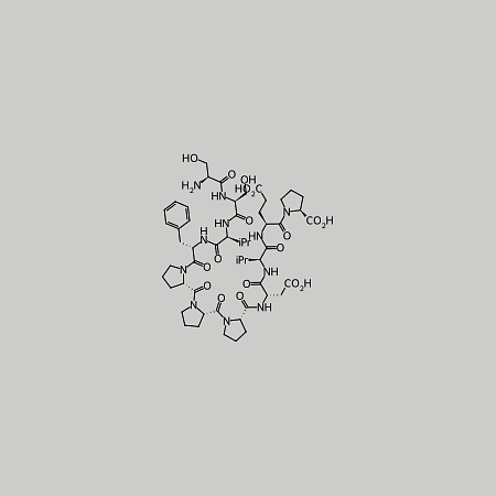 CC(C)[C@H](NC(=O)[C@H](CC(=O)O)NC(=O)[C@@H]1CCCN1C(=O)[C@@H]1CCCN1C(=O)[C@@H]1CCCN1C(=O)[C@H](Cc1ccccc1)NC(=O)[C@@H](NC(=O)[C@H](CO)NC(=O)[C@@H](N)CO)C(C)C)C(=O)N[C@@H](CCC(=O)O)C(=O)N1CCC[C@H]1C(=O)O